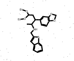 CCOC(CC(c1ccc2c(c1)OCO2)C(C)NCc1cc2ccccc2s1)OCC